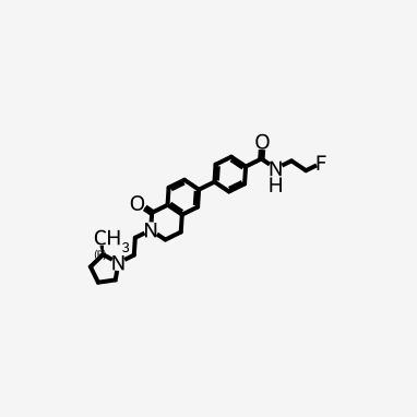 C[C@@H]1CCCN1CCN1CCc2cc(-c3ccc(C(=O)NCCF)cc3)ccc2C1=O